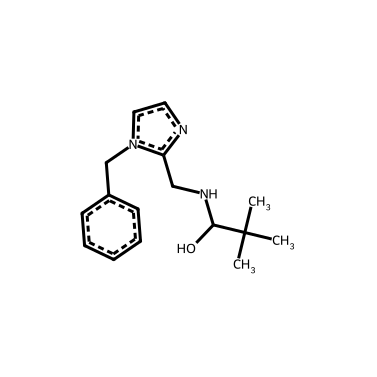 CC(C)(C)C(O)NCc1nccn1Cc1ccccc1